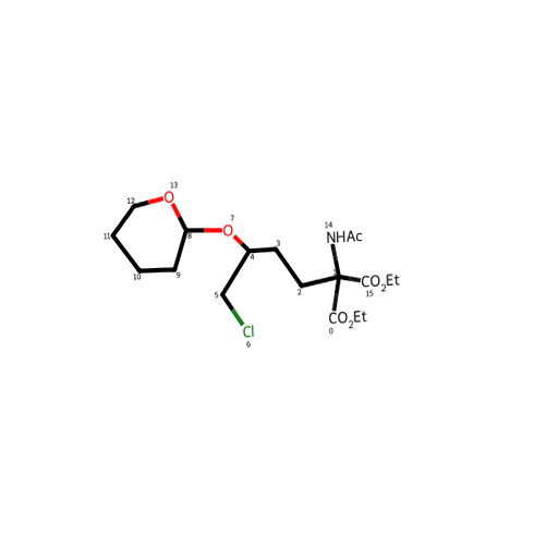 CCOC(=O)C(CCC(CCl)OC1CCCCO1)(NC(C)=O)C(=O)OCC